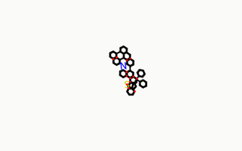 c1ccc(-c2cccc3cccc(-c4ccccc4N(c4cccc(-c5cccc6c5sc5ccccc56)c4)c4ccccc4-c4ccc5c(c4)C(c4ccccc4)(c4ccccc4)c4ccccc4-5)c23)cc1